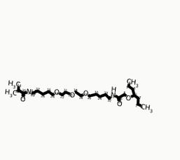 CCCC(CCC)OCC(=O)NCCCCCOCCOCCOCCCCCNC(=O)C(C)C